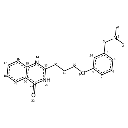 CN(C)Cc1cccc(OCCCc2nc3ccccc3c(=O)[nH]2)c1